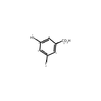 O=C(O)c1cc(F)cc(S)c1